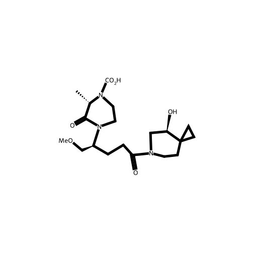 COC[C@H](CCC(=O)N1CCC2(CC2)[C@H](O)C1)N1CCN(C(=O)O)[C@@H](C)C1=O